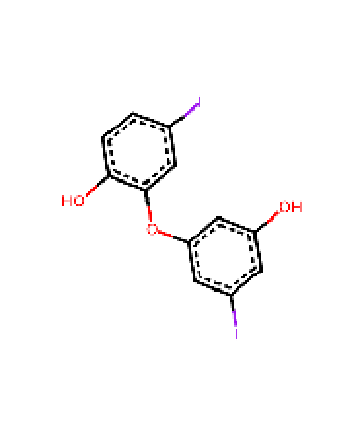 Oc1cc(I)cc(Oc2cc(I)ccc2O)c1